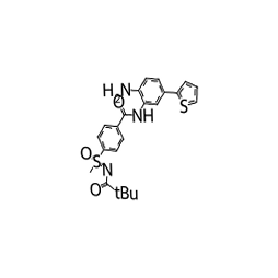 CC(C)(C)C(=O)N=S(C)(=O)c1ccc(C(=O)Nc2cc(-c3cccs3)ccc2N)cc1